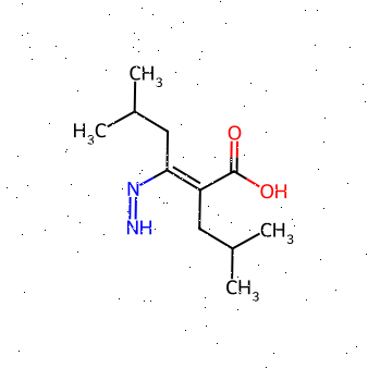 CC(C)CC(N=N)=C(CC(C)C)C(=O)O